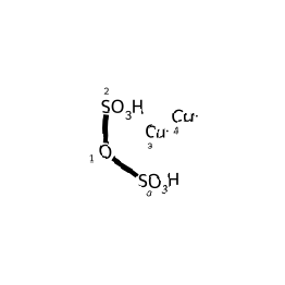 O=S(=O)(O)OS(=O)(=O)O.[Cu].[Cu]